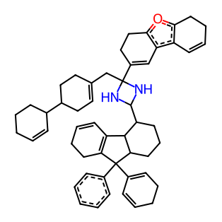 C1=CC(C2(c3ccccc3)C3=C(C=CCC3)C3C(C4NC(CC5=CCC(C6C=CCCC6)CC5)(C5=Cc6c(oc7c6C=CCC7)CC5)N4)CCCC32)=CCC1